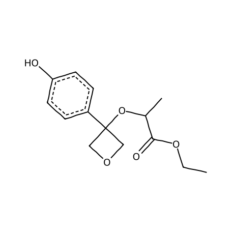 CCOC(=O)C(C)OC1(c2ccc(O)cc2)COC1